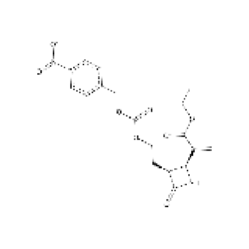 C=C(C(=O)OCC)[C@H]1NC(=O)[C@H]1CCOC(=O)OCc1ccc([N+](=O)[O-])cc1